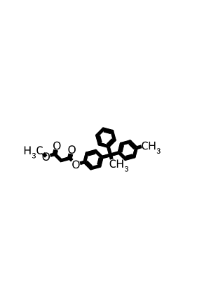 COC(=O)CC(=O)Oc1ccc(C(C)(c2ccccc2)c2ccc(C)cc2)cc1